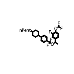 CCCCCC1CCC(c2ccc(C(F)(F)OC(C)c3ccc(OC(F)F)c(F)c3)cc2)CC1